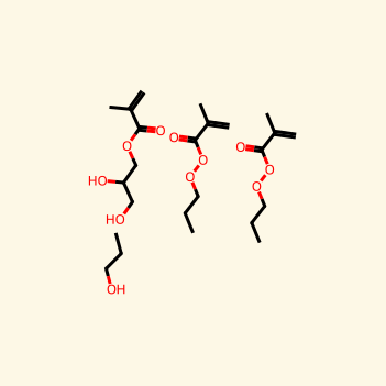 C=C(C)C(=O)OCC(O)CO.C=C(C)C(=O)OOCCC.C=C(C)C(=O)OOCCC.CCCO